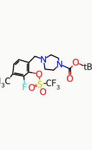 Cc1ccc(CN2CCN(C(=O)OC(C)(C)C)CC2)c(OS(=O)(=O)C(F)(F)F)c1F